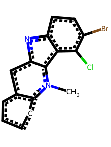 Cn1c2c3c(Cl)c(Br)ccc3nc-2cc2ccccc21